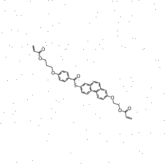 C=CC(=O)OCCCOc1ccc(C(=O)Sc2ccc3c(ccc4cc(OCCOC(=O)C=C)ccc43)c2)cc1